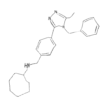 Cc1nnc(-c2ccc(CNC3CCCCCC3)cc2)n1Cc1ccccc1